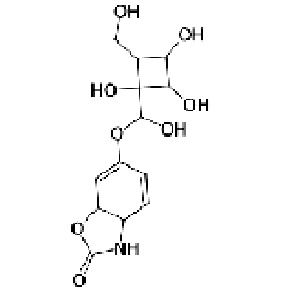 O=C1NC2C=CC(OC(O)C3(O)C(O)C(O)C3CO)=CC2O1